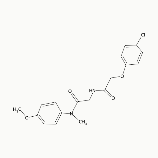 COc1ccc(N(C)C(=O)CNC(=O)COc2ccc(Cl)cc2)cc1